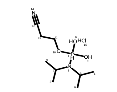 CC(C)N(C(C)C)[PH](O)(O)OCCC#N.Cl